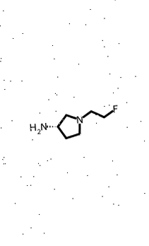 N[C@H]1CCN(CCF)C1